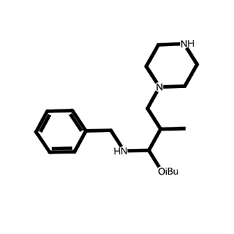 CC(C)COC(NCc1ccccc1)C(C)CN1CCNCC1